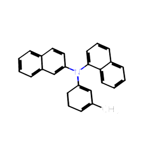 CC1=CCCC(N(c2ccc3ccccc3c2)c2cccc3ccccc23)=C1